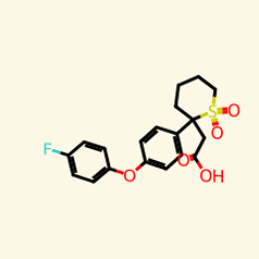 O=C(O)CC1(c2ccc(Oc3ccc(F)cc3)cc2)CCCCS1(=O)=O